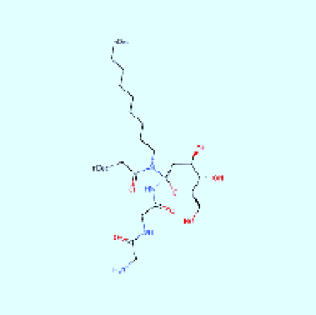 CCCCCCCCCCCCCCCCCCN(C(=O)CCCCCCCCCCC)[C@@]1(NC(=O)CNC(=O)CN)C[C@@H](O)[C@H](O)[C@@H](CO)O1